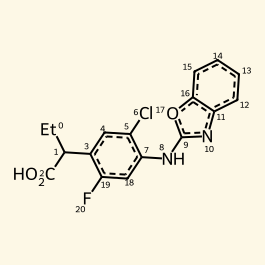 CCC(C(=O)O)c1cc(Cl)c(Nc2nc3ccccc3o2)cc1F